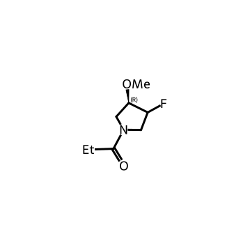 CCC(=O)N1CC(F)[C@H](OC)C1